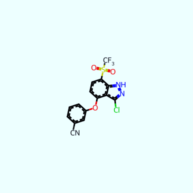 N#Cc1cccc(Oc2ccc(S(=O)(=O)C(F)(F)F)c3[nH]nc(Cl)c23)c1